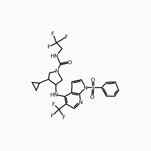 O=C(NCC(F)(F)F)N1CC(Nc2c(C(F)(F)F)cnc3c2ccn3S(=O)(=O)c2ccccc2)C(C2CC2)C1